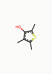 Cc1sc(C)c(O)c1C